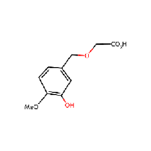 COc1ccc(COCC(=O)O)cc1O